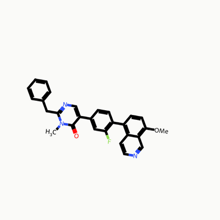 COc1ccc(-c2ccc(-c3cnc(Cc4ccccc4)n(C)c3=O)cc2F)c2ccncc12